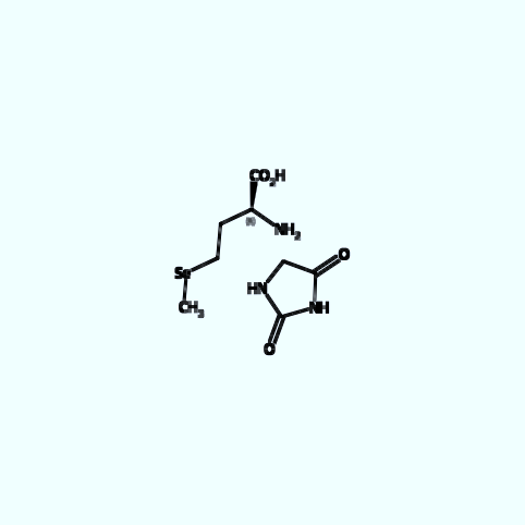 C[Se]CC[C@H](N)C(=O)O.O=C1CNC(=O)N1